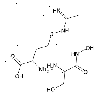 CC(=N)NOCCC(N)C(=O)O.NC(CO)C(=O)NO